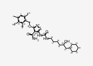 Cc1cc(F)c(COc2nsc(NC(=O)NCCCCC(O)CN3CCCCC3)c2C(N)=O)c(F)c1F